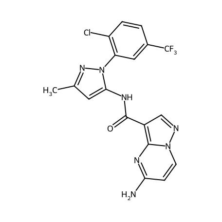 Cc1cc(NC(=O)c2cnn3ccc(N)nc23)n(-c2cc(C(F)(F)F)ccc2Cl)n1